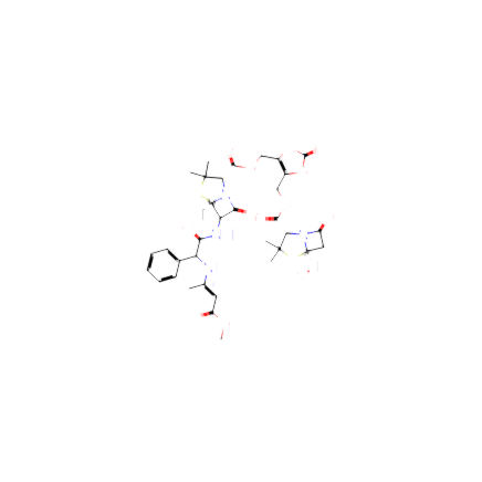 COC(=O)/C=C(\C)NC(C(=O)NC1C(=O)N2[C@@H]1SC(C)(C)[C@@H]2C(=O)OCc1oc(=O)oc1COC(=O)[C@@H]1N2C(=O)C[C@H]2S(=O)(=O)C1(C)C)c1ccccc1